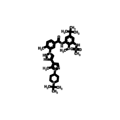 COc1c(NC(=O)c2ccc(C)c(N3C=C(c4cnn(C5CCN(C(C)(C)C)CC5)c4C)NN3)c2)cc(C(C)(C)C)cc1NS(C)(=O)=O